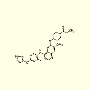 C=CC(=O)C1CCC(Oc2cc3c(Nc4ccc(Oc5cc[nH]n5)cc4F)ncnc3cc2OC)CC1